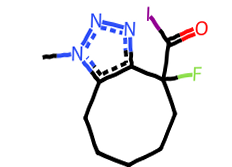 Cn1nnc2c1CCCCCC2(F)C(=O)I